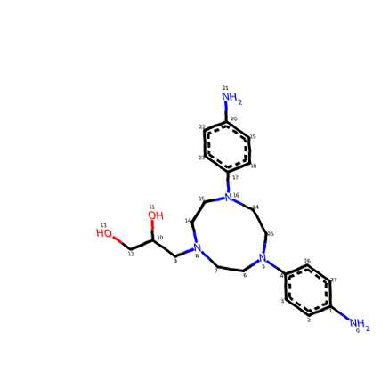 Nc1ccc(N2CCN(CC(O)CO)CCN(c3ccc(N)cc3)CC2)cc1